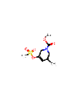 CC1C=C(OS(=O)(=O)C(F)(F)F)CN(C(=O)OC(C)(C)C)C1